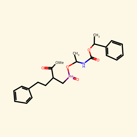 COC(=O)C(CCc1ccccc1)C[PH](=O)OC(C)NC(=O)OC(C)c1ccccc1